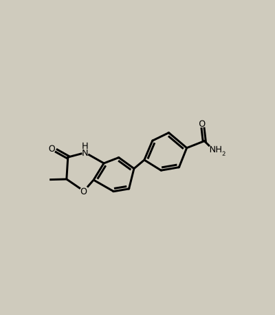 CC1Oc2ccc(-c3ccc(C(N)=O)cc3)cc2NC1=O